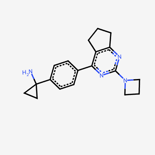 NC1(c2ccc(-c3nc(N4CCC4)nc4c3CCC4)cc2)CC1